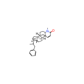 CC(Cc1ccccc1)[C@H]1CC[C@H]2[C@@H]3CCC4N(C)C(=O)C=C[C@]4(C)[C@H]3CC[C@]12C